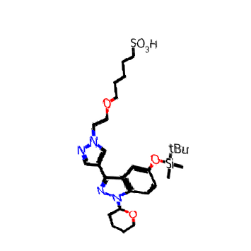 CC(C)(C)[Si](C)(C)Oc1ccc2c(c1)c(-c1cnn(CCOCCCCCS(=O)(=O)O)c1)nn2C1CCCCO1